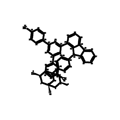 CC[C@@H]1C[C@@H]2C[C@H](C)CC(c3ccc(-n4c5ccccc5c5cccc(-c6nc(-c7ccc(C#N)cc7)nc(-c7cccc(C#N)c7)n6)c54)cc3)(C1)C2